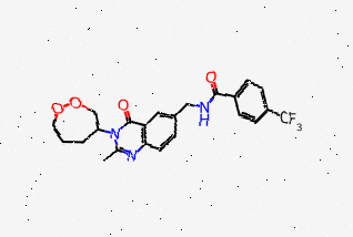 Cc1nc2ccc(CNC(=O)c3ccc(C(F)(F)F)cc3)cc2c(=O)n1C1CCCOOC1